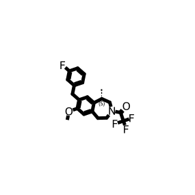 COc1cc2c(cc1Cc1cccc(F)c1)[C@H](C)CN(C(=O)C(F)(F)F)CC2